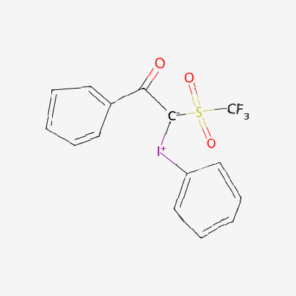 O=C(c1ccccc1)[C-]([I+]c1ccccc1)S(=O)(=O)C(F)(F)F